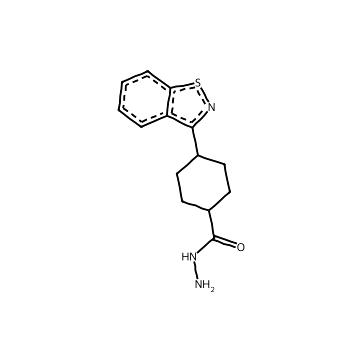 NNC(=O)C1CCC(c2nsc3ccccc23)CC1